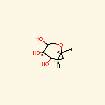 OC1CO[C@@H]2C[C@@H]2C(O)[C@@H]1O